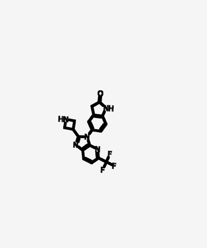 O=C1Cc2cc(-n3c(C4CNC4)nc4ccc(C(F)(F)F)nc43)ccc2N1